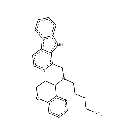 NCCCCN(Cc1nccc2c1[nH]c1ccccc12)C1CCOc2cccnc21